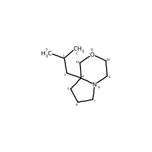 CC(C)CC12CCCN1CCOC2